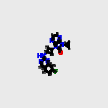 O=c1n(C2CC2)c2nccnc2n1[C@H]1C[C@H](Nc2ncc3ccc(F)cc3n2)C1